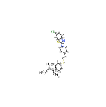 Cc1cc(SCCC2CCN(c3nc4ccc(Cl)cc4s3)CC2)ccc1C(C)CC(=O)O